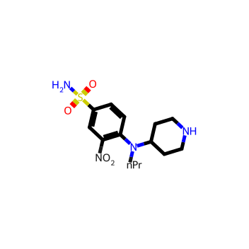 CCCN(c1ccc(S(N)(=O)=O)cc1[N+](=O)[O-])C1CCNCC1